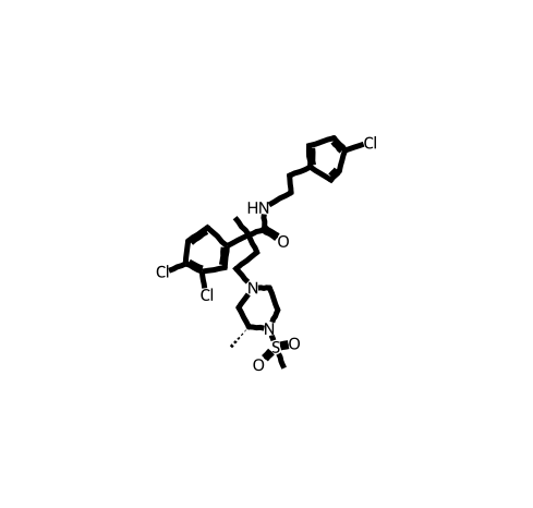 C[C@@H]1CN(CCC(C)(C(=O)NCCc2ccc(Cl)cc2)c2ccc(Cl)c(Cl)c2)CCN1S(C)(=O)=O